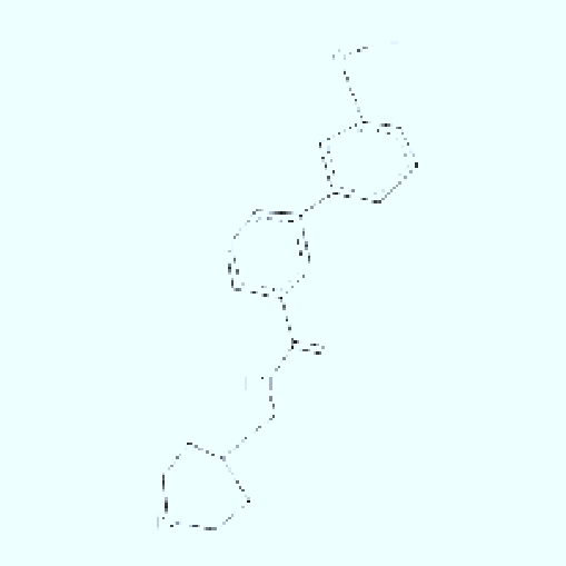 COc1cccc(-c2cncc(C(=O)NCC3CCNCC3)c2)c1